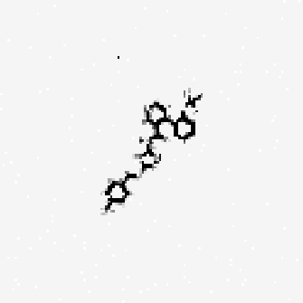 CC(F)(F)Oc1ccccc1-c1ccncc1C(=O)Nc1nnc(OCc2ccc(Cl)cc2)s1